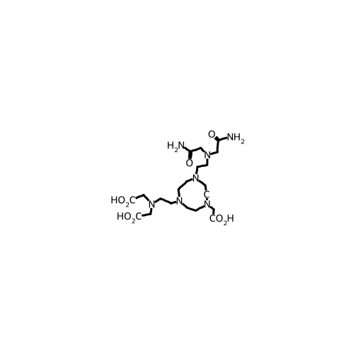 NC(=O)CN(CCN1CCN(CCN(CC(=O)O)CC(=O)O)CCN(CC(=O)O)CC1)CC(N)=O